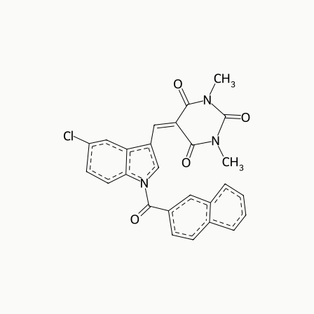 CN1C(=O)C(=Cc2cn(C(=O)c3ccc4ccccc4c3)c3ccc(Cl)cc23)C(=O)N(C)C1=O